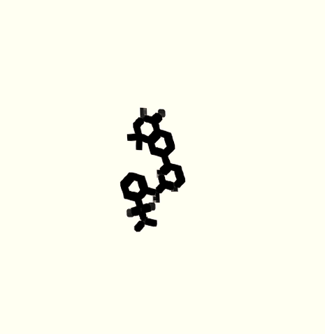 CN(C)S(=O)(=O)c1ccccc1Nc1nccc(-c2ccc3c(c2)C(C)(C)CNC3=O)n1